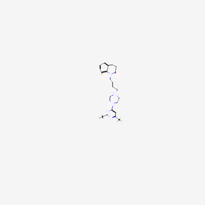 CC(C)(C)c1nc(N2CCN(CCCCN3C(=O)CCc4cccc(O)c43)CC2)cc(C(F)(F)F)n1